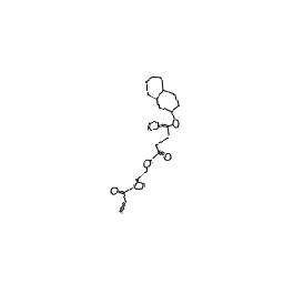 C=CC(=O)OCCOC(=O)CCC(=O)OC1CCC2CCCCC2C1